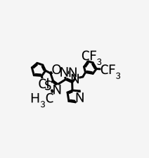 Cc1nc(-c2nnn(Cc3cc(C(F)(F)F)cc(C(F)(F)F)c3)c2-c2cccnc2)c(C(=O)c2ccccc2Cl)s1